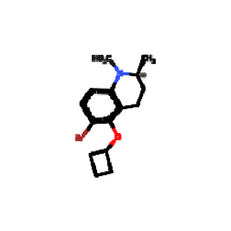 C[C@H]1CCc2c(ccc(Br)c2OC2CCC2)N1C(=O)O